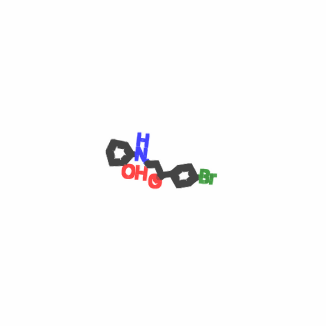 O=C(C=CNc1ccccc1O)c1ccc(Br)cc1